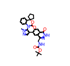 Cn1ncc(-c2ccc3c(=O)[nH]nc(CNC(=O)OC(C)(C)C)c3c2)c1N1C(=O)OC2(CCCC2)c2ccccc21